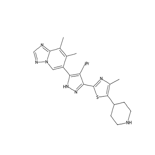 Cc1nc(-c2n[nH]c(-c3cn4ncnc4c(C)c3C)c2C(C)C)sc1C1CCNCC1